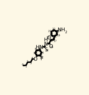 CCCCCOc1ccc(NC(=S)NC(=O)c2cc3cc(N)ccc3o2)cc1F